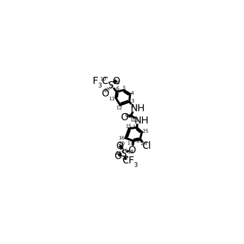 O=C(Nc1ccc(S(=O)(=O)C(F)(F)F)cc1)Nc1ccc(OS(=O)(=O)C(F)(F)F)c(Cl)c1